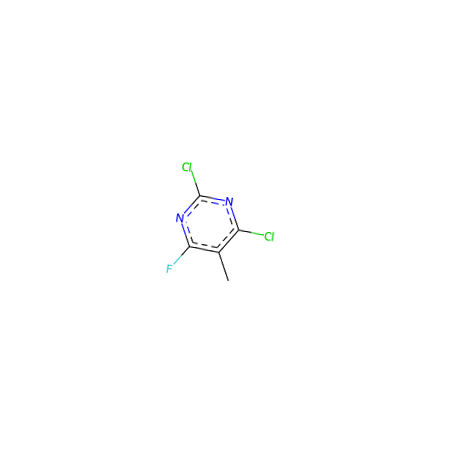 Cc1c(F)nc(Cl)nc1Cl